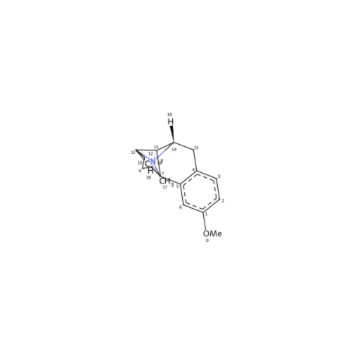 COc1ccc2c(c1)[C@@]13CCCC4(C1)[C@H]3[C@H](C2)N4C